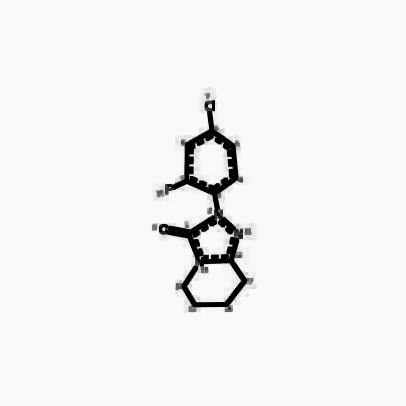 O=c1n(-c2ccc(Cl)cc2F)nc2n1CCCC2